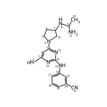 CCCc1cc(N2CCC(NC(C)N)C2)nc(Nc2cccc(C#N)c2)n1